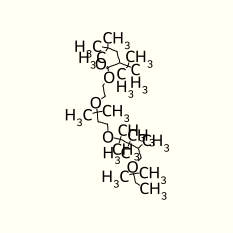 CCC(C)(C)OCC(C)C(C)(C)C(C)(C)OCCC(C)(C)OCCOC(=O)C(CC(C)(C)C)C(C)(C)C